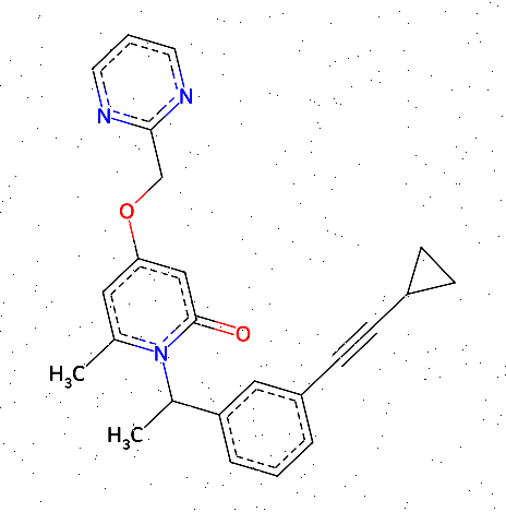 Cc1cc(OCc2ncccn2)cc(=O)n1C(C)c1cccc(C#CC2CC2)c1